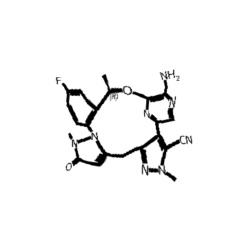 C[C@H]1Oc2nc(cnc2N)-c2c(nn(C)c2C#N)Cc2cc(=O)n(C)n2-c2ccc(F)cc21